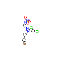 O=C1CN(c2cccc(-n3cc(-c4ccc(Cl)cc4Cl)nc3Cc3ccc(-c4ccc(Br)cc4)cc3)c2)S(=O)(=O)N1